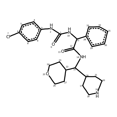 O=C(Nc1ccc(Cl)cc1)NC(C(=O)NC(C1CCNCC1)C1CCOCC1)c1ccccc1